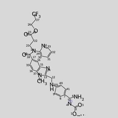 CCCCCCOC(=O)/N=C(\N)c1ccc(NCc2nc3cc(C(=O)N(CCC(=O)OCCC(F)(F)F)c4ccccn4)ccc3n2C)cc1